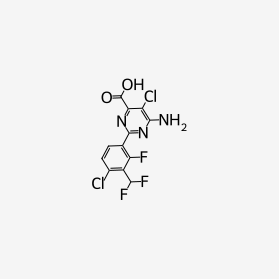 Nc1nc(-c2ccc(Cl)c(C(F)F)c2F)nc(C(=O)O)c1Cl